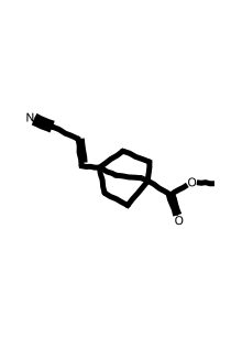 COC(=O)C12CCC(/C=C/C#N)(CC1)CC2